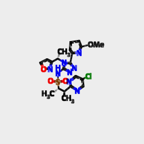 COc1cccc(-c2nnc(NS(=O)(=O)[C@@H](C)[C@H](C)c3ncc(Cl)cn3)n2[C@@H](C)c2ccon2)n1